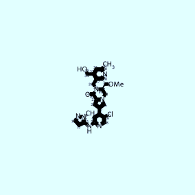 COC[C@H]1Cn2cc(-c3cc(Nc4ccnn4C)ncc3Cl)cc2C(=O)N1Cc1cnc(C)cc1CO